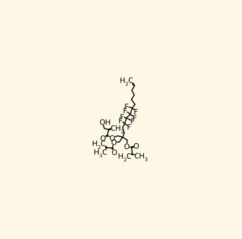 C=CCCCCC(F)(F)C(F)(F)C(F)(F)C(F)(F)CCC(COC(=O)C(=C)C)(COC(=O)C(=C)C)COC(=O)C(=C)CO